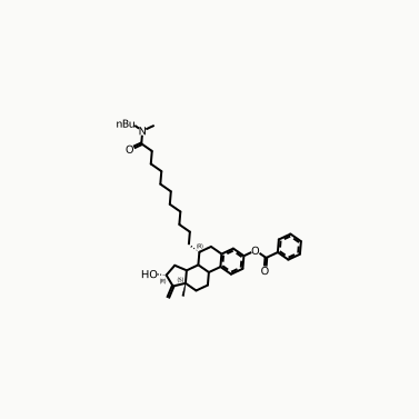 C=C1[C@H](O)CC2C3C(CC[C@]12C)c1ccc(OC(=O)c2ccccc2)cc1C[C@H]3CCCCCCCCCCC(=O)N(C)CCCC